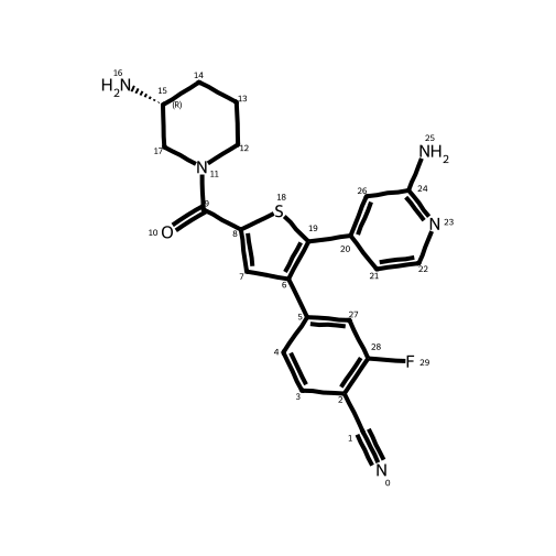 N#Cc1ccc(-c2cc(C(=O)N3CCC[C@@H](N)C3)sc2-c2ccnc(N)c2)cc1F